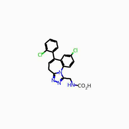 O=C(O)NCc1nnc2n1-c1ccc(Cl)cc1C(c1ccccc1Cl)=CC2